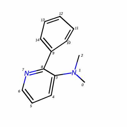 CN(C)c1cccnc1-c1[c]cccc1